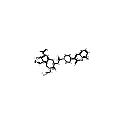 C=C(C)c1cc2c(c3cn[nH]c13)CN(CC(F)(F)F)C(=O)C(CC(=O)N1CCC(c3cc4cccc(F)c4[nH]c3=O)CC1)C2